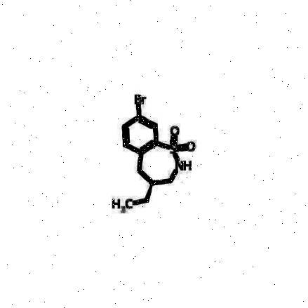 CC[C@@H]1CNS(=O)(=O)c2cc(Br)ccc2C1